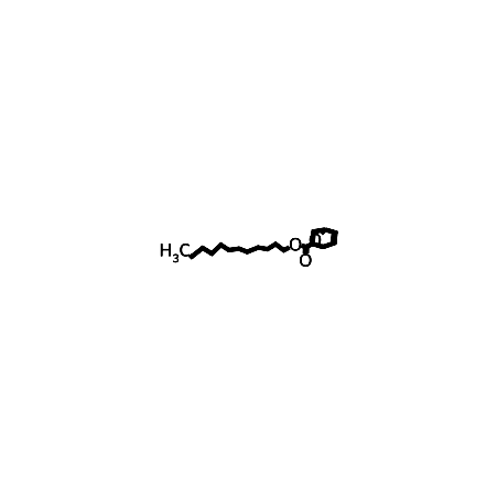 CCCCCCCCCCCCOC(=O)C1CC2C=CC1O2